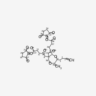 C#CCCC1OCC(C[S+]([O-])CCC(=O)ON2C(=O)CCC2=O)(C[S+]([O-])CCC(=O)ON2C(=O)CCC2=O)COC1C